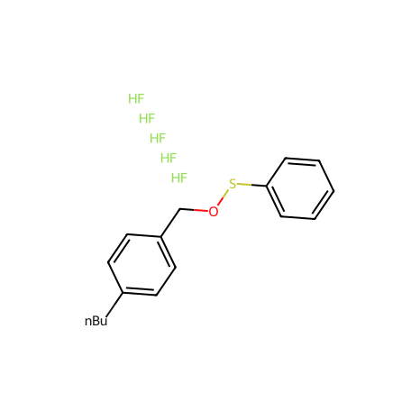 CCCCc1ccc(COSc2ccccc2)cc1.F.F.F.F.F